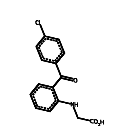 O=C(O)CNc1ccccc1C(=O)c1ccc(Cl)cc1